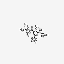 COC(=O)C1=C[C@H](NC(=O)OC(C)(C)C)[C@@H](C)[C@H]([C@H](O)[C@H](O)CO)O1